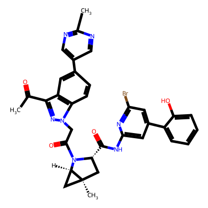 CC(=O)c1nn(CC(=O)N2[C@H](C(=O)Nc3cc(-c4ccccc4O)cc(Br)n3)C[C@@]3(C)C[C@@H]23)c2ccc(-c3cnc(C)nc3)cc12